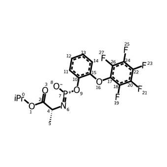 CC(C)OC(=O)[C@@H](C)N=[P+]([O-])Oc1ccccc1Oc1c(F)c(F)c(F)c(F)c1F